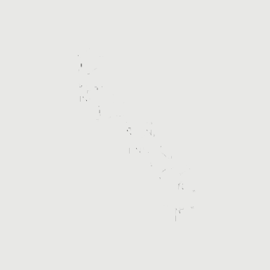 O=C(c1ccc(Nc2nccc(-c3ccc(NS(=O)(=O)c4ccccc4)cc3)n2)cc1)N1CCNCC1